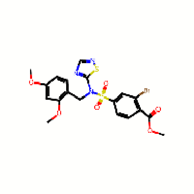 COC(=O)c1ccc(S(=O)(=O)N(Cc2ccc(OC)cc2OC)c2ncns2)cc1Br